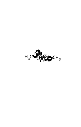 CCCC(ONC(=O)N(O)CC1C=CC(C)=CC1=O)c1ncccn1